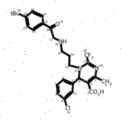 CC1=C(C(=O)O)C(c2cccc(Cl)c2)N(CCCNCC(=O)c2ccc(C(C)(C)C)cc2)C(C(F)(F)F)=N1